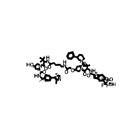 Cc1ncsc1-c1ccc([C@H](C)NC(=O)[C@@H]2C[C@@H](O)CN2C(=O)C(NC(=O)CCCCNC(=O)CO[C@H]2C[C@@H](C(=O)N3CCCC(c4ccccc4)C3)N(C(=O)C(NC(=O)c3cc4cc(C(F)(F)P(=O)(O)O)ccc4s3)C(C)(C)C)C2)C(C)(C)C)cc1